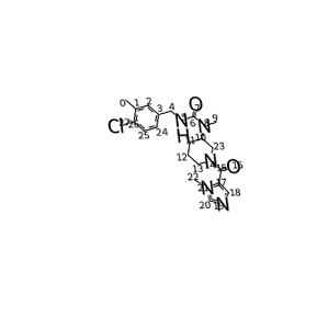 Cc1cc(CNC(=O)N(C)[C@@H]2CCCN(C(=O)c3cncn3C)C2)ccc1Cl